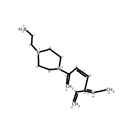 BCCN1CCN(C(=C)/C=C\C(C=C)=N/C)CC1